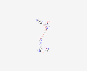 Cc1cc(C)c(CNC(=O)c2cc(-c3ccc(N4CCN(C(=O)COCCOCCOCC(=O)NC(C(=O)N5C[C@H](O)C[C@H]5C(=O)NCc5ccc(-c6scnc6C)cc5)C(C)(C)C)CC4)nc3)cc3c2cnn3C(C)C)c(=O)[nH]1